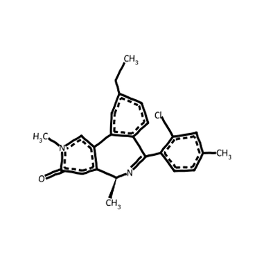 CCc1ccc2c(c1)-c1cn(C)c(=O)cc1[C@H](C)N=C2c1ccc(C)cc1Cl